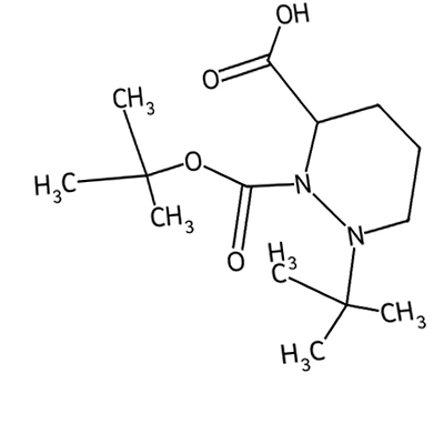 CC(C)(C)OC(=O)N1C(C(=O)O)CCCN1C(C)(C)C